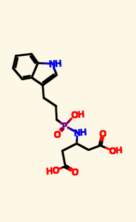 O=C(O)CC(CC(=O)O)NP(=O)(O)CCCc1c[nH]c2ccccc12